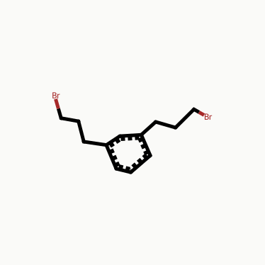 BrCCCc1cccc(CCCBr)c1